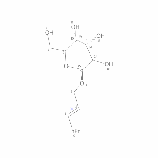 CCC/C=C/CO[C@H]1OC(CO)[C@H](O)[C@H](O)C1O